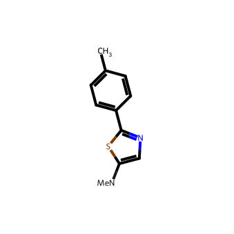 CNc1cnc(-c2ccc(C)cc2)s1